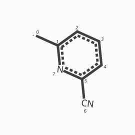 [CH2]c1cccc(C#N)n1